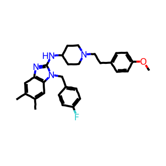 COc1ccc(CCN2CCC(Nc3nc4cc(C)c(C)cc4n3Cc3ccc(F)cc3)CC2)cc1